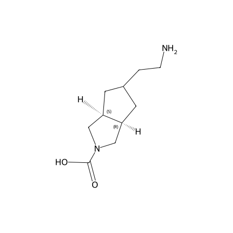 NCCC1C[C@@H]2CN(C(=O)O)C[C@@H]2C1